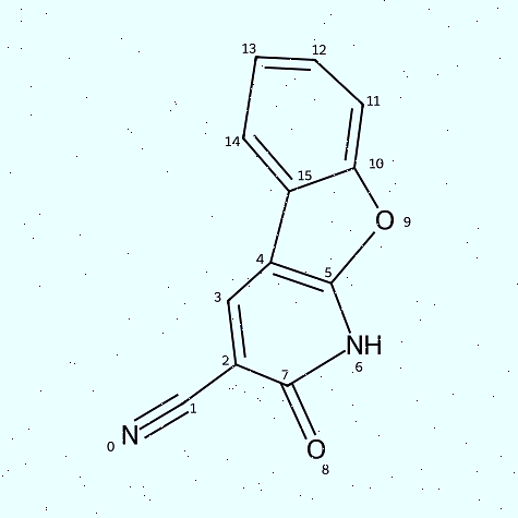 N#Cc1cc2c([nH]c1=O)oc1ccccc12